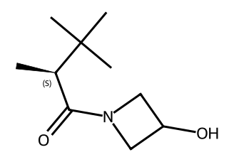 C[C@H](C(=O)N1CC(O)C1)C(C)(C)C